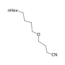 CCCCCCCCCCOCCCC#N